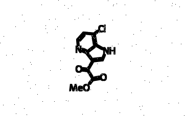 COC(=O)C(=O)c1c[nH]c2c(Cl)ccnc12